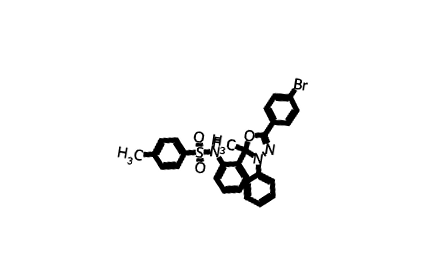 Cc1ccc(S(=O)(=O)Nc2ccccc2C2(C(F)(F)F)OC(c3ccc(Br)cc3)=NN2c2ccccc2)cc1